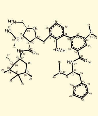 COc1c(CN2O[C@@H](CN)[C@@H]([C@H](C)O)[C@H]2C(=O)N[C@H]2C[C@@H](C)C(C)(C)[C@@H](C)[C@@H]2C)cccc1-c1cc(C(=O)N[C@@H](Cc2ccccn2)CN(C)C)cc(N(C)C)c1